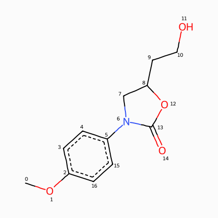 COc1ccc(N2CC(CCO)OC2=O)cc1